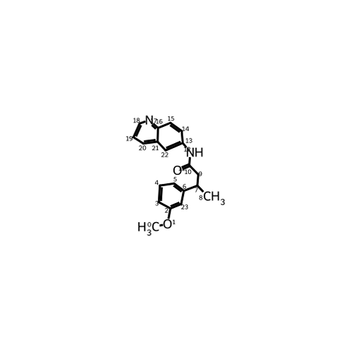 COc1cccc(C(C)CC(=O)Nc2ccc3ncccc3c2)c1